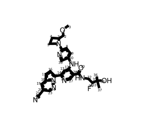 COCC1CCN1c1ccc(Nc2cc(-c3ccc4cc(C#N)cnn34)ncc2C(=O)NC[C@@H](F)C(C)(C)O)cn1